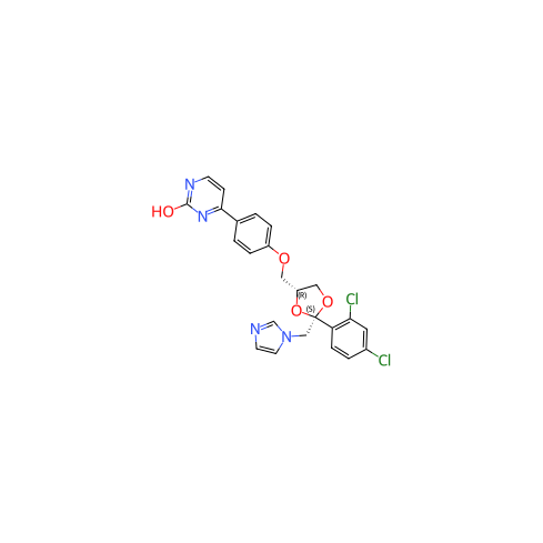 Oc1nccc(-c2ccc(OC[C@@H]3CO[C@@](Cn4ccnc4)(c4ccc(Cl)cc4Cl)O3)cc2)n1